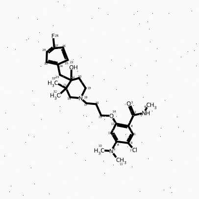 CNC(=O)c1cc(Cl)c(N(C)C)cc1OCCCN1CCC(O)(Cc2ccc(F)cc2)C(C)(C)C1